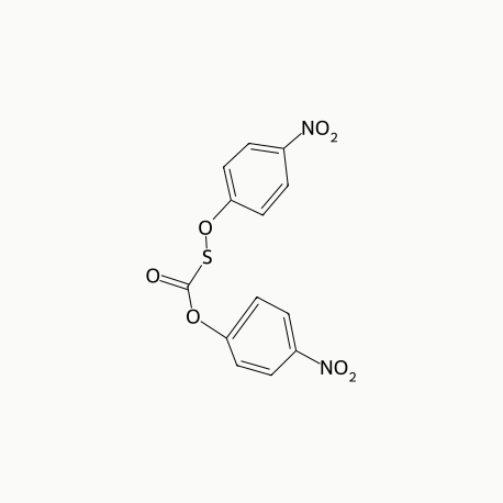 O=C(Oc1ccc([N+](=O)[O-])cc1)SOc1ccc([N+](=O)[O-])cc1